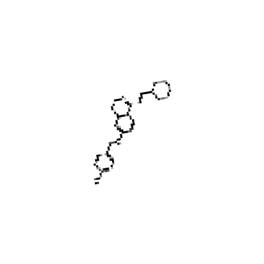 Clc1ccc(COc2ccc3c(c2)CCN=C3C=CC2CCCCC2)cc1